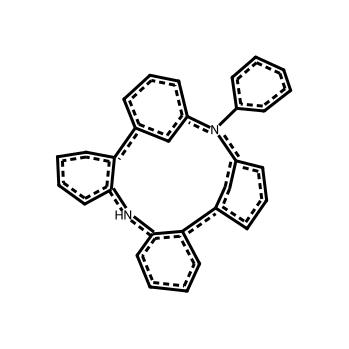 c1ccc(-n2c3cccc(c3)c3ccccc3[nH]c3ccccc3c3cccc2c3)cc1